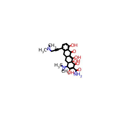 CN(C)CC#Cc1ccc(O)c2c1CC1CC3C(N(C)C)C(O)=C(C(N)=O)C(=O)C3(O)C(O)=C1C2=O